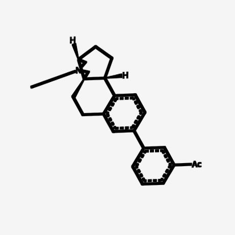 CC(=O)c1cccc(-c2ccc3c(c2)CC[C@]24CN(C)C[C@H]2CC[C@H]34)c1